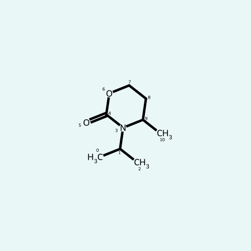 CC(C)N1C(=O)OCCC1C